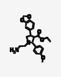 CCOC(=O)C1C(c2ccc3c(c2)OCO3)CN(CCN)C1c1ccc(OC)cc1